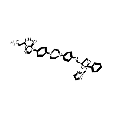 CC[C@H](C)n1ncn(-c2ccc(N3CCN(c4ccc(OC[C@H]5CO[C@@](Cn6nccn6)(c6ccccc6)O5)cc4)CC3)cc2)c1=O